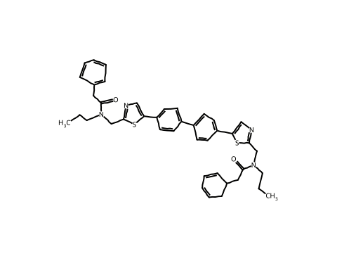 CCCN(Cc1ncc(-c2ccc(-c3ccc(-c4cnc(CN(CCC)C(=O)CC5C=CC=CC5)s4)cc3)cc2)s1)C(=O)Cc1ccccc1